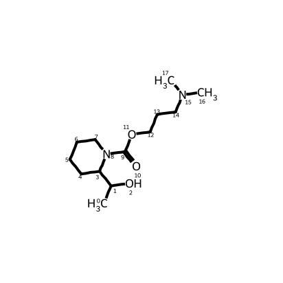 CC(O)C1CCCCN1C(=O)OCCCN(C)C